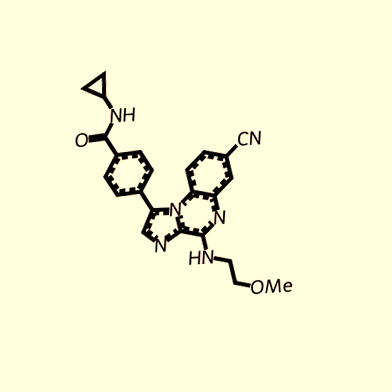 COCCNc1nc2cc(C#N)ccc2n2c(-c3ccc(C(=O)NC4CC4)cc3)cnc12